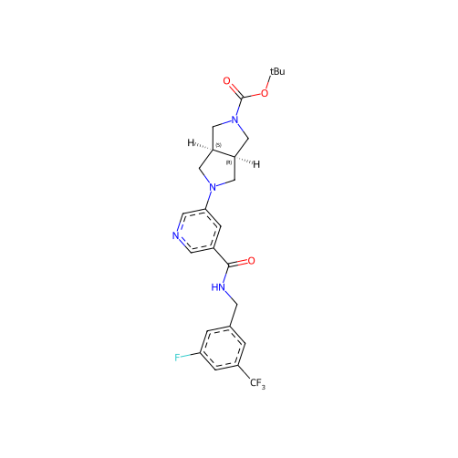 CC(C)(C)OC(=O)N1C[C@@H]2CN(c3cncc(C(=O)NCc4cc(F)cc(C(F)(F)F)c4)c3)C[C@@H]2C1